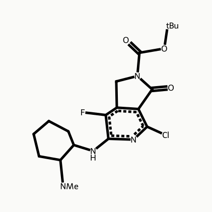 CNC1CCCCC1Nc1nc(Cl)c2c(c1F)CN(C(=O)OC(C)(C)C)C2=O